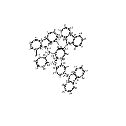 Cc1cccc2c3cccc(C)c3n(B3c4ccccc4-n4c5ccc(-n6c7ccccc7c7ccccc76)cc5c5cc(-n6c7ccccc7c7ccccc76)cc3c54)c12